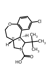 CC(C)(C)C1[C@@H]2c3cc(Cl)ccc3OCC[C@H]2CN1C(=O)O